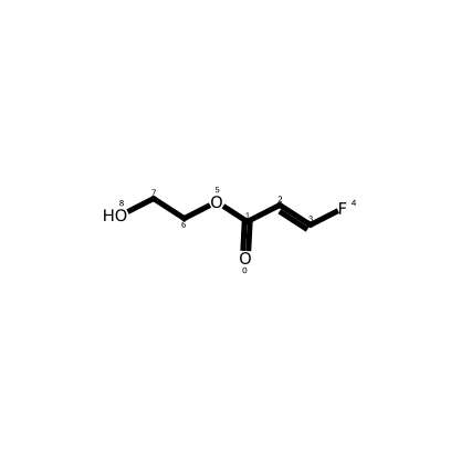 O=C(C=CF)OCCO